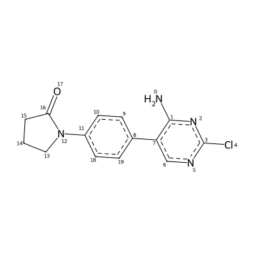 Nc1nc(Cl)ncc1-c1ccc(N2CCCC2=O)cc1